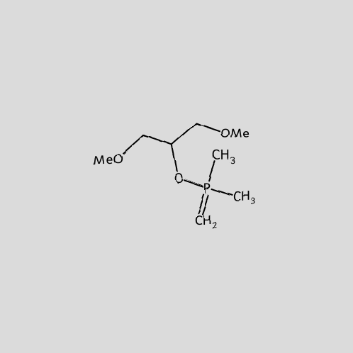 C=P(C)(C)OC(COC)COC